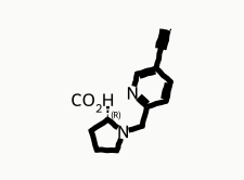 [C]#Cc1ccc(CN2CCC[C@@H]2C(=O)O)nc1